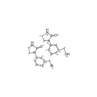 O=C1NCCN1c1cccc(CBr)c1.O=C1NCCN1c1cccc(CO)c1